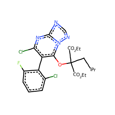 CCOC(=O)C(CC(C)C)(Oc1c(-c2c(F)cccc2Cl)c(Cl)nc2ncnn12)C(=O)OCC